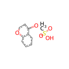 CS(=O)(=O)O.O=c1ccoc2ccccc12